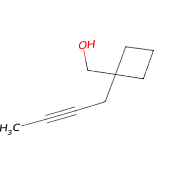 CC#CCC1(CO)CCC1